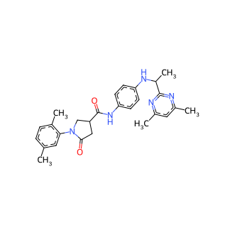 Cc1ccc(C)c(N2CC(C(=O)Nc3ccc(NC(C)c4nc(C)cc(C)n4)cc3)CC2=O)c1